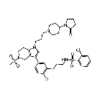 CS(=O)(=O)N1CCc2c(c(-c3ccc(Cl)c(CCCNS(=O)(=O)c4ccccc4Cl)c3)nn2CCCN2CCC(N3CCCC3=O)CC2)C1